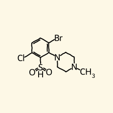 CN1CCN(c2c(Br)ccc(Cl)c2[SH](=O)=O)CC1